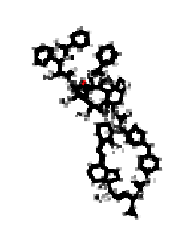 C=C1/C(=C\C=C2/CCC[C@@]3(C)C2CCC3[C@@H](C)/C=C/C(OC(=O)Nc2ccc(Cc3ccc(NC(=O)OC4CC5OCC5(OC(C)=O)C5C(OC(=O)c6ccccc6)C6(O)CC(OC(=O)C(O)C(NC(=O)c7ccccc7)c7ccccc7)C(C)=C(C(OC(C)=O)C(=O)C45C)C6(C)C)cc3)cc2)C2CC2)CCC[C@@H]1O